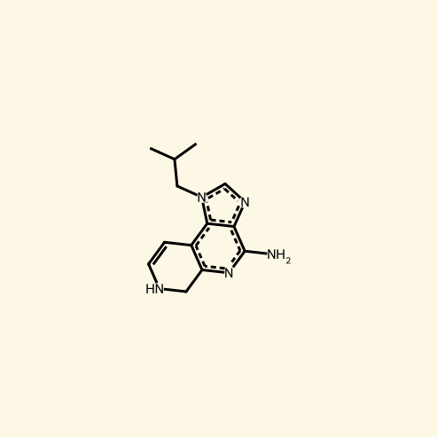 CC(C)Cn1cnc2c(N)nc3c(c21)C=CNC3